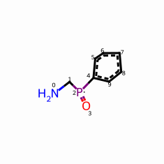 NC[P](=O)c1ccccc1